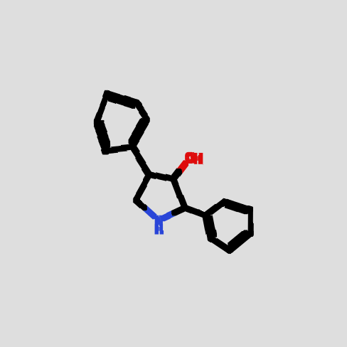 OC1C(c2ccccc2)CNC1c1ccccc1